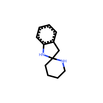 c1ccc2c(c1)CC1(CCCCN1)N2